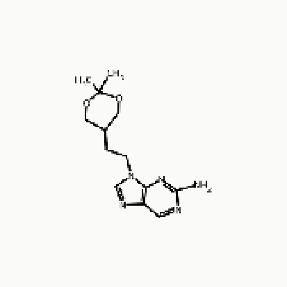 CC1(C)OCC(CCn2cnc3cnc(N)nc32)CO1